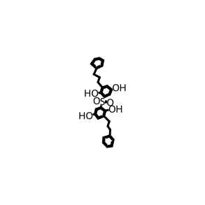 O=S(=O)(c1cc(O)cc(CCCc2ccccc2)c1O)c1cc(O)cc(CCCc2ccccc2)c1O